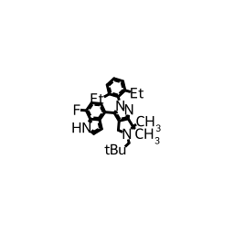 CCc1cccc(CC)c1-n1nc2c(c1-c1ccc(F)c3[nH]ccc13)CN(CC(C)(C)C)C2(C)C